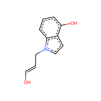 OC=CCn1ccc2c(O)cccc21